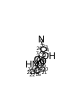 N#Cc1cccc(CC(OC(=O)Nc2c3c(cc4c2CCC4)CCC3)C(=O)O)c1